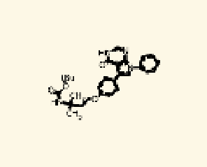 CC(C)(CCOc1ccc(-c2cn(-c3ccccc3)c3nc[nH]c(=O)c23)cc1)NC(=O)OC(C)(C)C